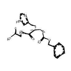 O=C(O)CNC(=O)[C@H](Cc1c[nH]cn1)NC(=O)OCc1ccccc1